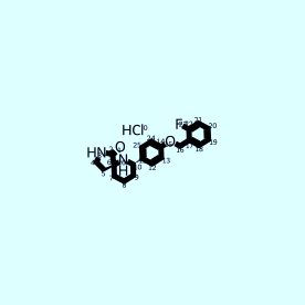 Cl.O=C1NCC[C@@]12CCC[C@@H](c1ccc(OCc3ccccc3F)cc1)N2